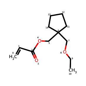 C=CC(=O)OCC1(COCC)CCCC1